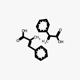 C/C(=C\c1ccccc1)C(=O)O.C=C(C(=O)O)c1ccccc1